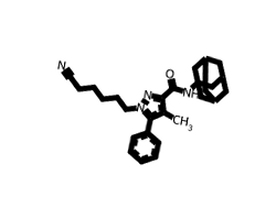 Cc1c(C(=O)NC23CC4CC(CC(C4)C2)C3)nn(CCCCCC#N)c1-c1ccccc1